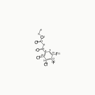 CCOC(=O)CC(=O)c1cc(F)c(F)c(Cl)c1Cl